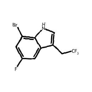 Fc1cc(Br)c2[nH]cc(CC(F)(F)F)c2c1